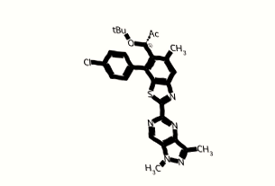 CC(=O)[C@@H](OC(C)(C)C)c1c(C)cc2nc(-c3ncc4c(n3)c(C)nn4C)sc2c1-c1ccc(Cl)cc1